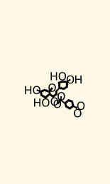 COC(=O)c1ccc(C(=O)Oc2c(-c3ccc(O)c(O)c3)oc3cc(O)cc(O)c3c2=O)cc1